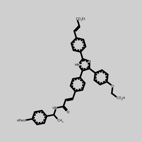 CCCCCc1ccc(C(C)NC(=O)/C=C/c2ccc(-c3[nH]c(-c4ccc(/C=C/C(=O)OCC)cc4)nc3-c3ccc(OCC(=O)O)cc3)cc2)cc1